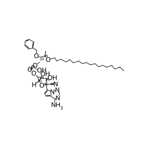 CCCCCCCCCCCCCCCCCCO[C@H](C)[C@H](COP(=O)(O)OC1[C@H]2O[C@@](C#N)(c3ccc4c(N)ncnn34)[C@H](O)[C@@]12O)OCc1ccccc1